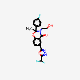 CC1(c2ccc(F)cc2)Oc2ccc(-c3nnc(C(F)F)o3)cc2C(=O)N1CCO